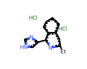 CCc1cc2ccccc2c(-c2c[nH]cn2)n1.Cl.Cl